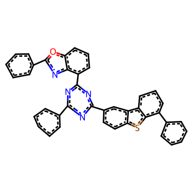 c1ccc(-c2nc(-c3ccc4sc5c(-c6ccccc6)cccc5c4c3)nc(-c3cccc4oc(-c5ccccc5)nc34)n2)cc1